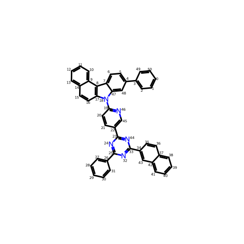 c1ccc(-c2ccc3c4c5ccccc5ccc4n(-c4ccc(-c5nc(-c6ccccc6)nc(-c6ccc7ccccc7c6)n5)cn4)c3c2)cc1